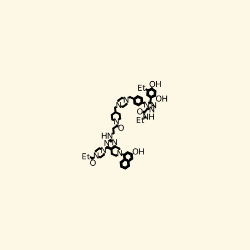 CCNC(=O)c1nnc(-c2cc(CC)c(O)cc2O)n1-c1ccc(CN2CCN(CC3CCN(C(=O)CCNc4nc5c(c(N6CCN(C(=O)CC)CC6)n4)CCN(c4cc(O)cc6ccccc46)C5)CC3)CC2)cc1